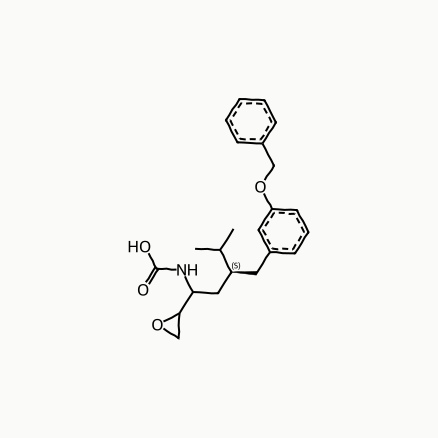 CC(C)[C@@H](Cc1cccc(OCc2ccccc2)c1)CC(NC(=O)O)C1CO1